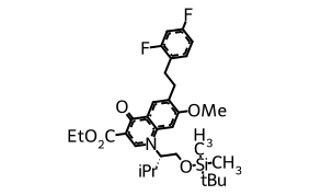 CCOC(=O)c1cn([C@H](CO[Si](C)(C)C(C)(C)C)C(C)C)c2cc(OC)c(CCc3ccc(F)cc3F)cc2c1=O